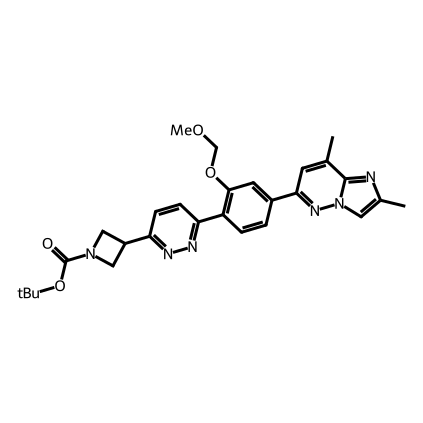 COCOc1cc(-c2cc(C)c3nc(C)cn3n2)ccc1-c1ccc(C2CN(C(=O)OC(C)(C)C)C2)nn1